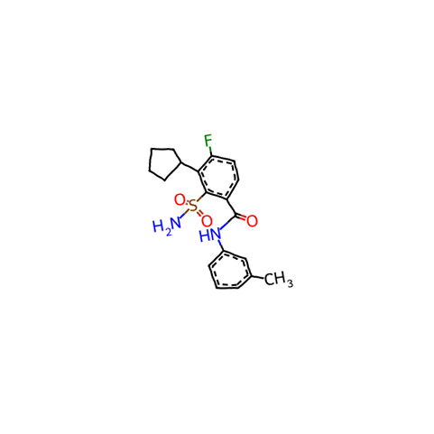 Cc1cccc(NC(=O)c2ccc(F)c(C3CCCC3)c2S(N)(=O)=O)c1